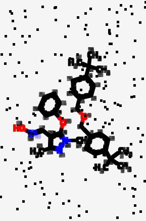 CC(C)(C)c1ccc(COCc2ccc(C(C)(C)C)cc2)cc1.Cc1nn(C)c(Oc2ccccc2)c1/C=N/O